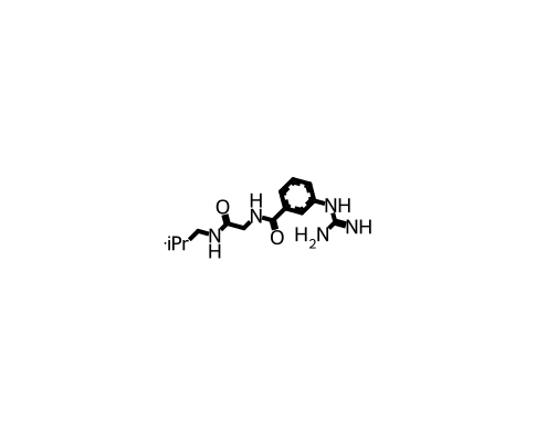 C[C](C)CNC(=O)CNC(=O)c1cccc(NC(=N)N)c1